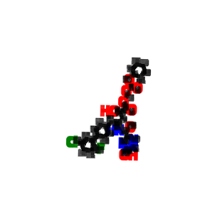 O=C(OCOC(=O)[C@H](O)C[C@@H](Cc1ccc(-c2cc(Cl)ccc2F)cc1)NC(=O)c1nnn(O)n1)OC1CCCCC1